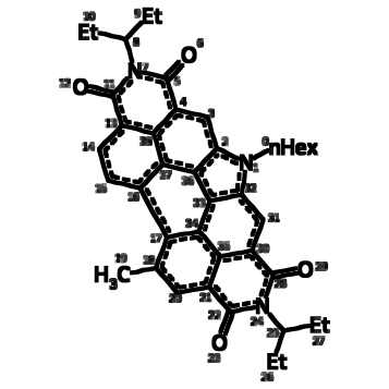 CCCCCCn1c2cc3c(=O)n(C(CC)CC)c(=O)c4ccc5c6c(C)cc7c(=O)n(C(CC)CC)c(=O)c8cc1c(c6c78)c2c5c43